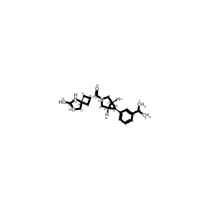 CC(C)c1cccc([C@H]2[C@@H]3CN(C(=O)[C@H]4C[C@]5(COC(O)N5)C4)C[C@@H]32)c1